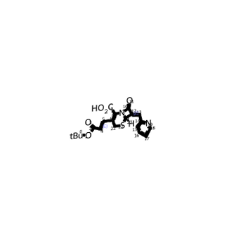 CC(C)(C)OC(=O)/C=C/C1=C(C(=O)O)N2C(=O)/C(=C/c3ccccn3)[C@@H]2SC1